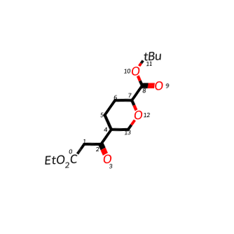 CCOC(=O)CC(=O)C1CCC(C(=O)OC(C)(C)C)OC1